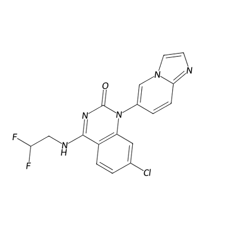 O=c1nc(NCC(F)F)c2ccc(Cl)cc2n1-c1ccc2nccn2c1